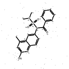 Cc1cc(O)nc2ccc(N(C(=O)c3ccccc3)S(=O)(=O)N(C)C)cc12